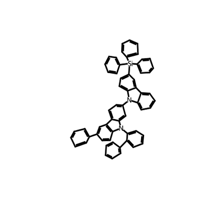 c1ccc(-c2ccc3c(c2)c2ccc(-n4c5ccccc5c5cc([Si](c6ccccc6)(c6ccccc6)c6ccccc6)ccc54)cc2n3-c2ccccc2-c2ccccc2)cc1